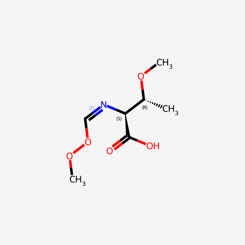 COO/C=N\[C@H](C(=O)O)[C@@H](C)OC